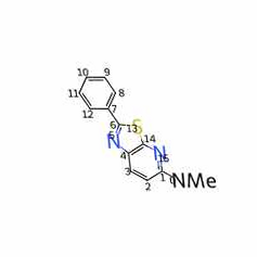 CNc1ccc2nc(-c3ccccc3)sc2n1